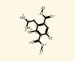 O=C(OCl)c1cc(Cl)c(C(=O)OCl)c(Cl)c1CC(O)O